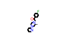 C[C@H]1CN(c2ccccn2)CCN1CC(=O)c1ccc(F)cc1